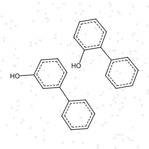 Oc1cccc(-c2ccccc2)c1.Oc1ccccc1-c1ccccc1